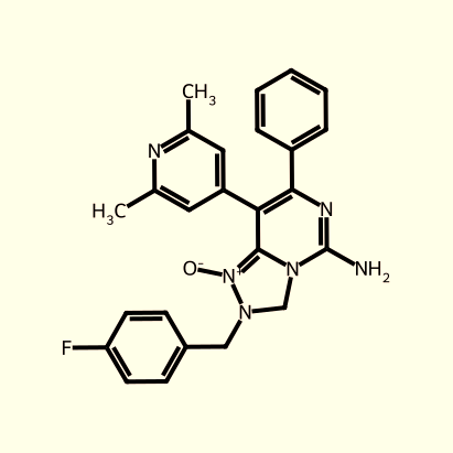 Cc1cc(C2=C(c3ccccc3)N=C(N)N3CN(Cc4ccc(F)cc4)[N+]([O-])=C23)cc(C)n1